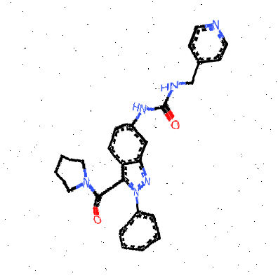 O=C(NCc1ccncc1)Nc1ccc2c(C(=O)N3CCCC3)n(-c3ccccc3)nc2c1